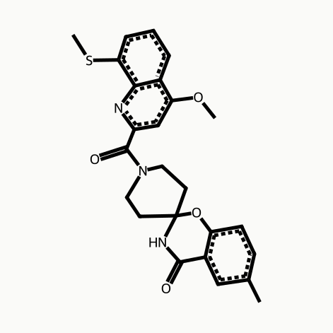 COc1cc(C(=O)N2CCC3(CC2)NC(=O)c2cc(C)ccc2O3)nc2c(SC)cccc12